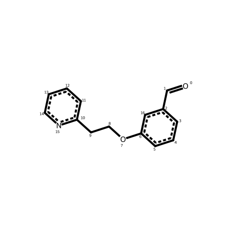 O=Cc1cccc(OCCc2ccccn2)c1